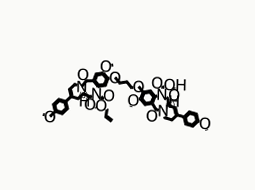 C=CCOC(=O)N1c2cc(OCCCOc3cc4c(cc3OC)C(=O)N3CCC(c5ccc(OC)cc5)=C[C@H]3C(OC)N4C(=O)O)c(OC)cc2C(=O)N2CC=C(c3ccc(OC)cc3)C[C@H]2C1OC